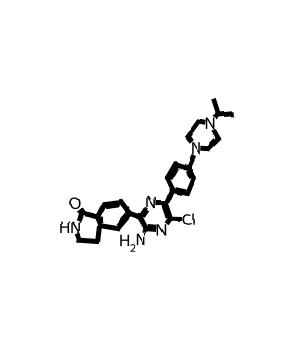 CC(C)N1CCN(c2ccc(-c3nc(-c4ccc5c(c4)CCNC5=O)c(N)nc3Cl)cc2)CC1